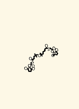 CC(C)(CCC(=O)SCC(=O)ON1C(=O)CCC1=O)COC(C)(C)CCCCC(=O)SCC(=O)ON1C(=O)CCC1=O